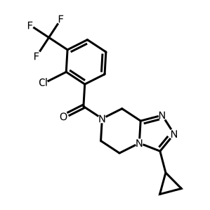 O=C(c1cccc(C(F)(F)F)c1Cl)N1CCn2c(nnc2C2CC2)C1